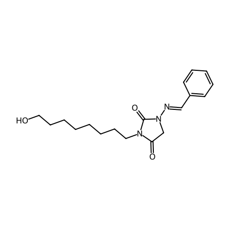 O=C1CN(N=Cc2ccccc2)C(=O)N1CCCCCCCCO